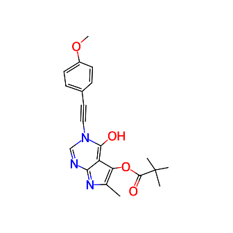 COc1ccc(C#Cn2cnc3nc(C)c(OC(=O)C(C)(C)C)c-3c2O)cc1